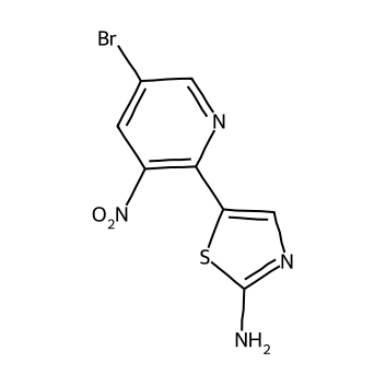 Nc1ncc(-c2ncc(Br)cc2[N+](=O)[O-])s1